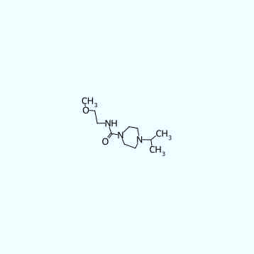 COCCNC(=O)N1CCN(C(C)C)CC1